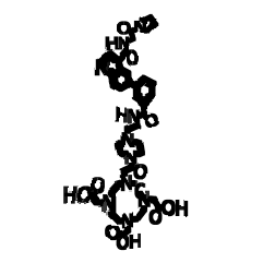 O=C(O)CN1CCN(CC(=O)O)CCN(CC(=O)N2CCN(CCNC(=O)c3cccc(-c4ccc5nccc(C(=O)NCC(=O)N6CCCC6)c5c4)c3)CC2)CCN(CC(=O)O)CC1